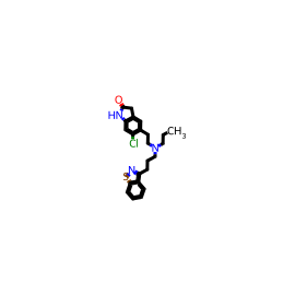 CCCN(CCCc1nsc2ccccc12)CCc1cc2c(cc1Cl)NC(=O)C2